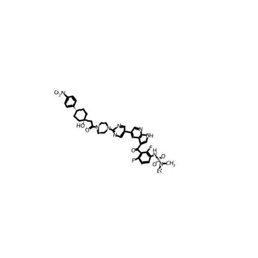 CCN(C)S(=O)(=O)Nc1ccc(F)c(C(=O)c2c[nH]c3ncc(-c4cnc(N5CCN(C(=O)C[C@]6(O)CC[C@@H](c7ccc([N+](=O)[O-])cc7)CC6)CC5)nc4)cc23)c1F